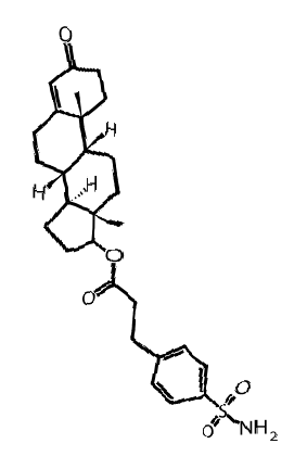 C[C@]12CCC(=O)C=C1CC[C@@H]1[C@H]2CC[C@]2(C)C(OC(=O)CCc3ccc(S(N)(=O)=O)cc3)CC[C@@H]12